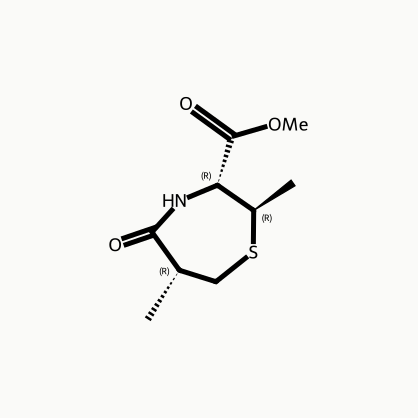 COC(=O)[C@H]1NC(=O)[C@@H](C)CS[C@@H]1C